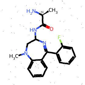 C[C@H](N)C(=O)NC1CN(C)c2ccccc2C(c2ccccc2F)=N1